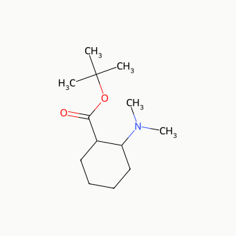 CN(C)C1CCCCC1C(=O)OC(C)(C)C